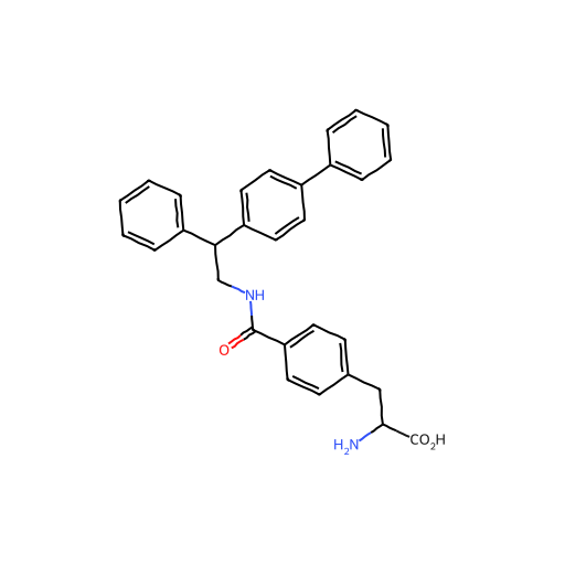 NC(Cc1ccc(C(=O)NCC(c2ccccc2)c2ccc(-c3ccccc3)cc2)cc1)C(=O)O